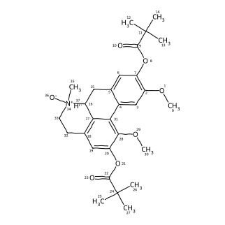 COc1cc2c(cc1OC(=O)C(C)(C)C)C[C@H]1c3c(cc(OC(=O)C(C)(C)C)c(OC)c3-2)CC[N+]1(C)[O-]